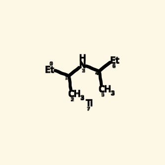 CCC(C)NC(C)CC.[Ti]